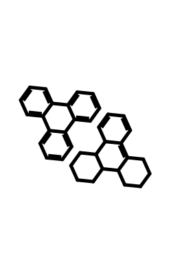 C1=CC2=C3CCCCC3C3CCCCC3C2C=C1.c1ccc2c(c1)c1ccccc1c1ccccc21